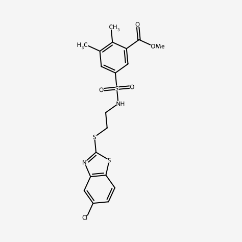 COC(=O)c1cc(S(=O)(=O)NCCSc2nc3cc(Cl)ccc3s2)cc(C)c1C